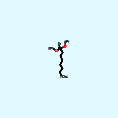 CCCCCCCCCCCCCCCC[Si](CC)(OCCC)OCCC